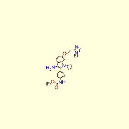 CCn1ccnc1CCOc1ccc2c(N)c(-c3ccc(NC(=O)OC(C)C)cc3)n(C3CCC3)c2c1